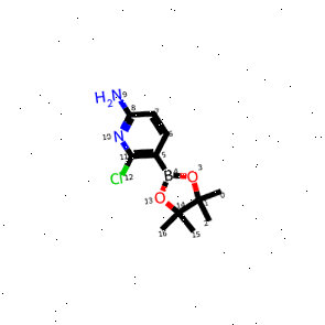 CC1(C)OB(c2ccc(N)nc2Cl)OC1(C)C